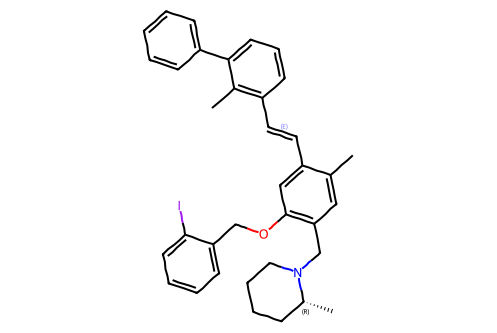 Cc1cc(CN2CCCC[C@H]2C)c(OCc2ccccc2I)cc1/C=C/c1cccc(-c2ccccc2)c1C